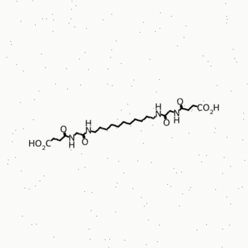 O=C(O)CCC(=O)NCC(=O)NCCCCCCCCCCCNC(=O)CNC(=O)CCC(=O)O